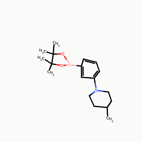 CC1CCN(c2cccc(B3OC(C)(C)C(C)(C)O3)c2)CC1